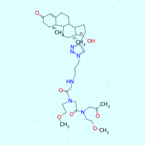 COCCN(CC(C)=O)C(=O)CN(CCOC)C(=O)CNCCCn1cc([C@]2(O)CCC3C4CCC5=CC(=O)CC[C@]5(C)C4CC[C@@]32C)nn1